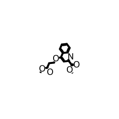 COC(=O)CCOc1cc(C(=O)OC)nc2ccccc12